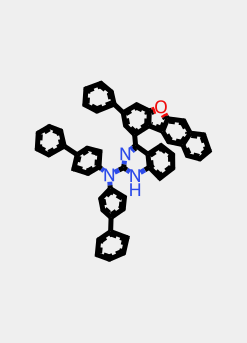 c1ccc(-c2ccc(N(c3ccc(-c4ccccc4)cc3)C3N=C(c4cc(-c5ccccc5)cc5oc6cc7ccccc7cc6c45)c4ccccc4N3)cc2)cc1